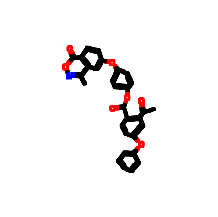 CC(=O)c1cc(Oc2ccccc2)ccc1C(=O)Oc1ccc(Oc2ccc3c(=O)onc(C)c3c2)cc1